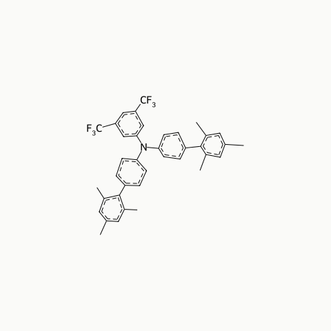 Cc1cc(C)c(-c2ccc(N(c3ccc(-c4c(C)cc(C)cc4C)cc3)c3cc(C(F)(F)F)cc(C(F)(F)F)c3)cc2)c(C)c1